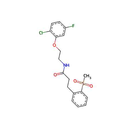 CS(=O)(=O)c1ccccc1CCC(=O)NCCOc1cc(F)ccc1Cl